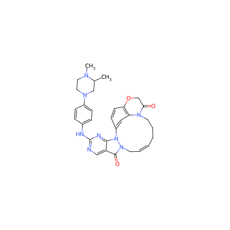 CC1CN(c2ccc(Nc3ncc4c(=O)n5n(c4n3)-c3ccc4c(c3)N(CCC/C=C\C5)C(=O)CO4)cc2)CCN1C